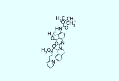 Cc1c(NC(=O)OC(C)(C)C)ccc2nc(N3CCc4ccccc4C3C(=O)N(C)CCc3ccccn3)oc(=O)c12